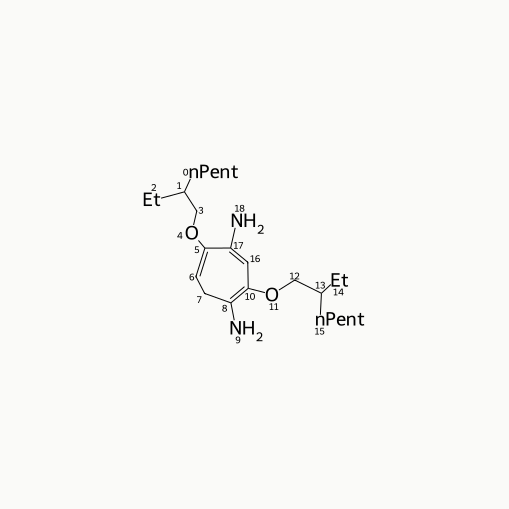 CCCCCC(CC)COC1=CCC(N)=C(OCC(CC)CCCCC)C=C1N